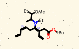 C=C/C=C\C/C(=C(\C=C)CC(=O)OC(C)(C)C)N(CC)C(C)C(CC)OC